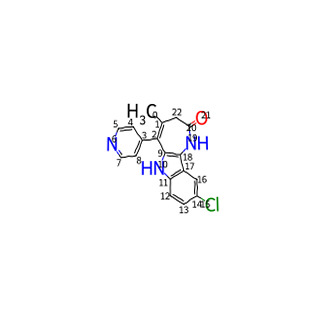 CC1=C(c2ccncc2)c2[nH]c3ccc(Cl)cc3c2NC(=O)C1